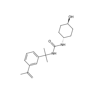 C=C(C)c1cccc(C(C)(C)NC(=O)N[C@H]2CC[C@H](O)CC2)c1